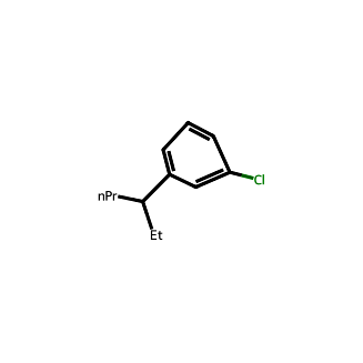 CCCC(CC)c1cccc(Cl)c1